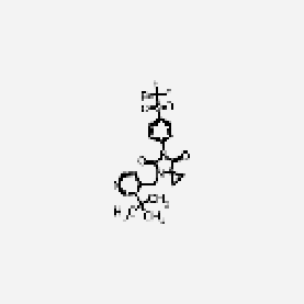 CC(C)(C)c1cnccc1CN1C(=O)N(c2ccc(S(=O)(=O)C(F)(F)F)cc2)C(=O)C12CC2